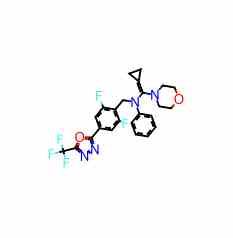 Fc1cc(-c2nnc(C(F)(F)F)o2)cc(F)c1CN(C(=C1CC1)N1CCOCC1)c1ccccc1